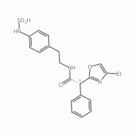 CCc1coc([C@@H](C(=O)NCCc2ccc(NS(=O)(=O)O)cc2)c2ccccc2)n1